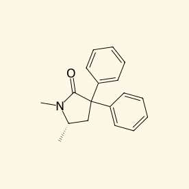 C[C@H]1CC(c2ccccc2)(c2ccccc2)C(=O)N1C